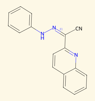 N#C/C(=N/Nc1ccccc1)c1ccc2ccccc2n1